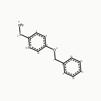 CCCSc1ccc(OCc2ccccc2)cn1